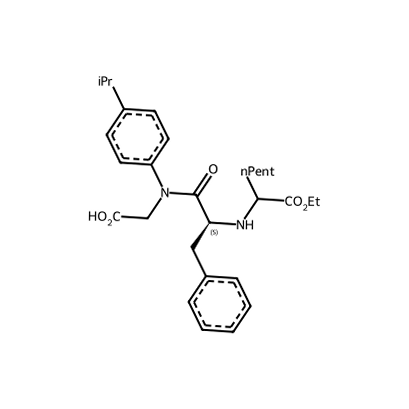 CCCCCC(N[C@@H](Cc1ccccc1)C(=O)N(CC(=O)O)c1ccc(C(C)C)cc1)C(=O)OCC